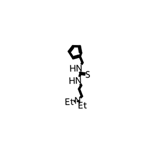 CCN(CC)CCCNC(=S)NCc1ccccc1